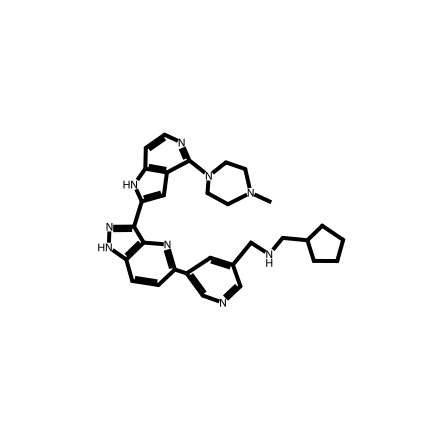 CN1CCN(c2nccc3[nH]c(-c4n[nH]c5ccc(-c6cncc(CNCC7CCCC7)c6)nc45)cc23)CC1